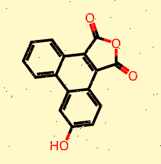 O=C1OC(=O)c2c1c1ccccc1c1cc(O)ccc21